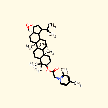 C=C(C)[C@@H]1CC[C@]2(CO)CC[C@]3(C)C(CCC4[C@@]5(C)CCC(OC(=O)C[n+]6ccc(C)cc6C)C(C)(C)C5CC[C@]43C)C12